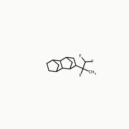 CC(F)(C(F)F)C1CC2CC1C1C3CCC(C3)C21